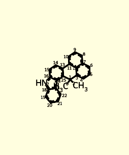 CC1(C)c2cccc3cccc(c23)-c2ccc3[nH]c4ccccc4c3c21